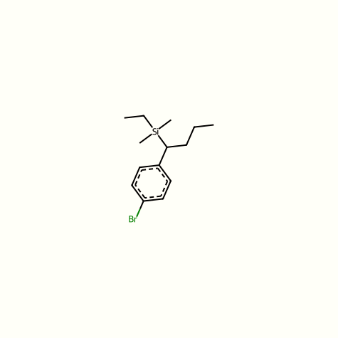 CCCC(c1ccc(Br)cc1)[Si](C)(C)CC